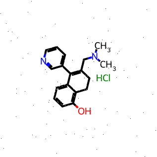 CN(C)CC1=C(c2cccnc2)c2cccc(O)c2CC1.Cl